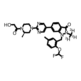 [2H]C([2H])([2H])n1c(=O)c2ccc(-c3cnc(N4CCN(C(=O)CO)[C@H](C)C4)nc3)cc2n1Cc1cc(C)ccc1OC(F)F